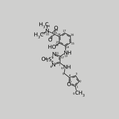 Cc1ccc(CNc2n[s+]([O-])nc2Nc2cccc(S(=O)(=O)N(C)C)c2O)o1